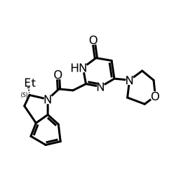 CC[C@H]1Cc2ccccc2N1C(=O)Cc1nc(N2CCOCC2)cc(=O)[nH]1